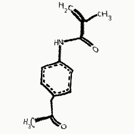 C=C(C)C(=O)Nc1ccc(C(C)=O)cc1